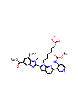 COC(=O)c1cc(OC)c2c(c1)nc(-c1cc3ccc(-c4cnccc4NC(=O)OC(C)(C)C)nc3n1CCCCCCC(=O)OC(C)(C)C)n2C